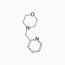 c1ccc(CN2CCOCC2)nc1